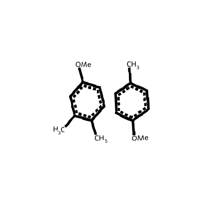 COc1ccc(C)c(C)c1.COc1ccc(C)cc1